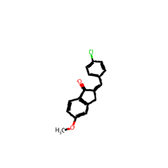 COc1ccc2c(c1)C/C(=C/c1ccc(Cl)cc1)C2=O